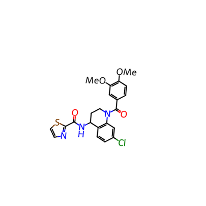 COc1ccc(C(=O)N2CCC(NC(=O)c3nccs3)c3ccc(Cl)cc32)cc1OC